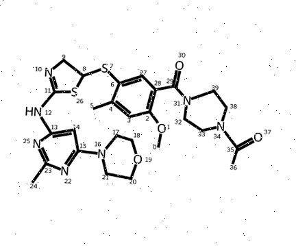 COc1cc(C)c(SC2CN=C(Nc3cc(N4CCOCC4)nc(C)n3)S2)cc1C(=O)N1CCN(C(C)=O)CC1